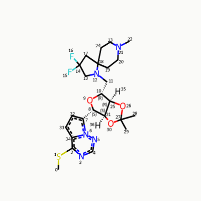 CSc1ncnn2c([C@@H]3O[C@H](CN4CC(F)(F)CC45CCN(C)CC5)[C@H]4OC(C)(C)O[C@H]43)ccc12